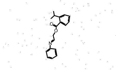 CC(C)c1ccccc1C(=O)OCC=Nc1ccccc1